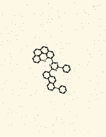 c1ccc(-c2nc(-c3ccc4ccc5ccc6cccc7c6c5c4c3O7)nc(-c3cccc4c3ccc3c(-c5ccccc5)cccc34)n2)cc1